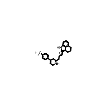 Cc1ccc(C2=CCNC(CCCCC34CCCc5cccc(c53)NC4=O)C2)cc1